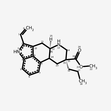 C=Cc1[nH]c2cccc3c2c1C[C@H]1NC[C@@](CCC)(C(=O)OC)CC31